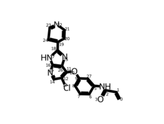 C=CC(=O)Nc1cccc(Oc2c(Cl)cnc3[nH]c(-c4ccncc4)nc23)c1